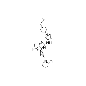 Cc1nn(C2CCN(CC3CC3)CC2)cc1Nc1ncc(C(F)(F)F)c(NCCCN2CCCCC2=O)n1